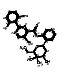 CC[C@H]1O[C@@H](c2ccncc2NC(=O)c2nc(-c3c(F)cccc3F)ncc2N)C[C@@H](O)[C@]1(C)O